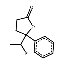 CC(F)C1(c2ccccc2)CCC(=O)O1